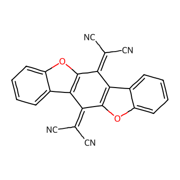 N#CC(C#N)=c1c2oc3ccccc3c2c(=C(C#N)C#N)c2oc3ccccc3c12